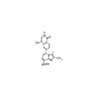 CNc1ccc(-c2ccc3c(=O)[nH]cc(Cl)c3c2)n2c(C)c(C(F)(F)F)nc12